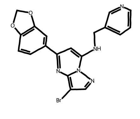 Brc1cnn2c(NCc3cccnc3)cc(-c3ccc4c(c3)OCO4)nc12